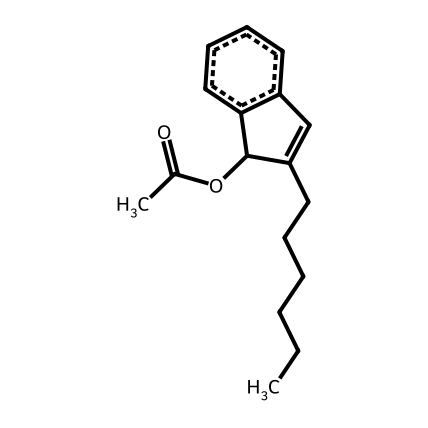 CCCCCCC1=Cc2ccccc2C1OC(C)=O